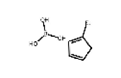 CCC1=CC=CC1.OB(O)O